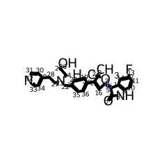 CC1(C)O/C(=C2/C(=O)Nc3ccc(F)cc32)C=C1c1ccc(CN(CCO)CCc2ccncc2)cc1